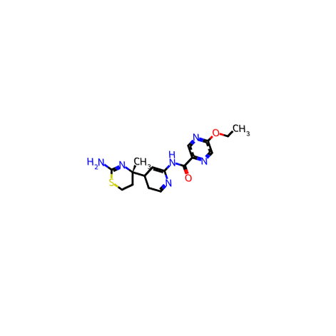 CCOc1cnc(C(=O)NC2=CC([C@]3(C)CCSC(N)=N3)CC=N2)cn1